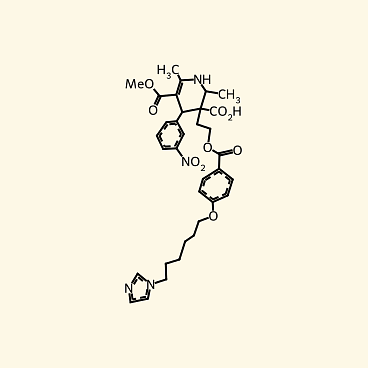 COC(=O)C1=C(C)NC(C)C(CCOC(=O)c2ccc(OCCCCCCn3ccnc3)cc2)(C(=O)O)C1c1cccc([N+](=O)[O-])c1